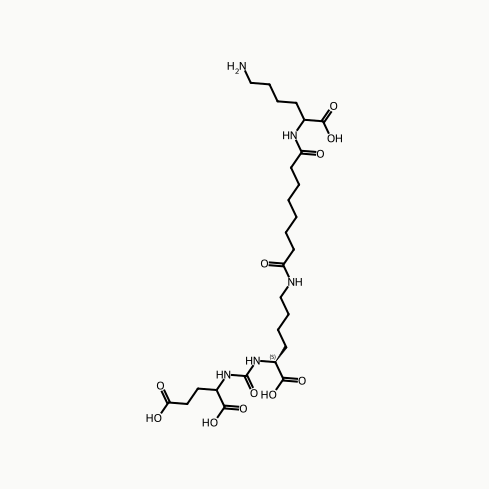 NCCCCC(NC(=O)CCCCCCC(=O)NCCCC[C@H](NC(=O)NC(CCC(=O)O)C(=O)O)C(=O)O)C(=O)O